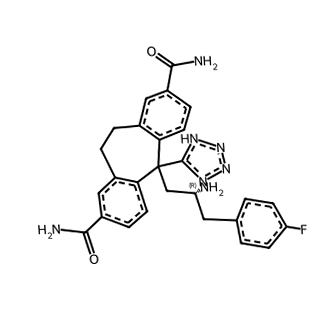 NC(=O)c1ccc2c(c1)CCc1cc(C(N)=O)ccc1C2(C[C@H](N)Cc1ccc(F)cc1)c1nnn[nH]1